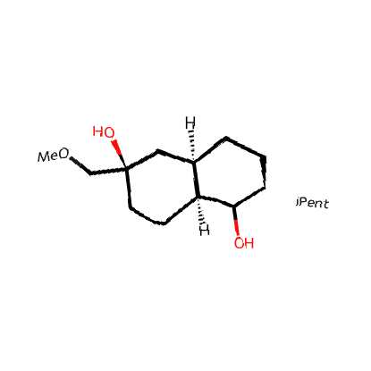 CCC[C@H](C)[C@@H]1CC[C@@H]2C[C@@](O)(COC)CC[C@@H]2C1O